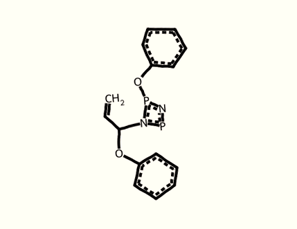 C=CC(Oc1ccccc1)n1pnp1Oc1ccccc1